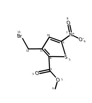 COC(=O)c1sc([N+](=O)[O-])cc1CBr